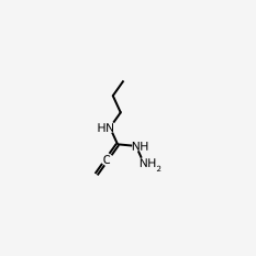 C=C=C(NN)NCCC